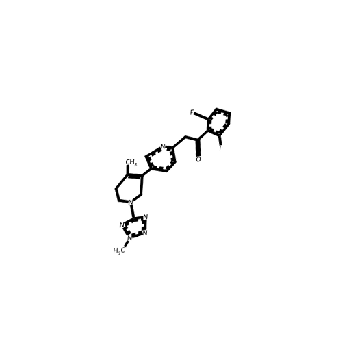 CC1=C(c2ccc(CC(=O)c3c(F)cccc3F)nc2)CN(c2nnn(C)n2)CC1